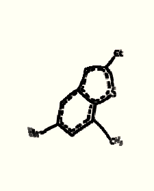 CCc1cc2cc(Br)cc(C)c2s1